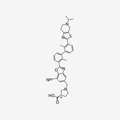 Cc1c(-c2nc3cc(CN4CC[C@@H](C(=O)O)C4)cc(C#N)c3o2)cccc1-c1cccc(-c2nc3c(s2)CN(C(C)C)CC3)c1C